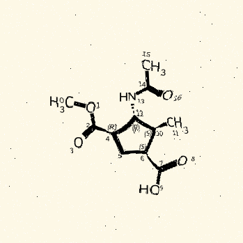 COC(=O)[C@@H]1C[C@H](C(=O)O)[C@H](C)[C@H]1NC(C)=O